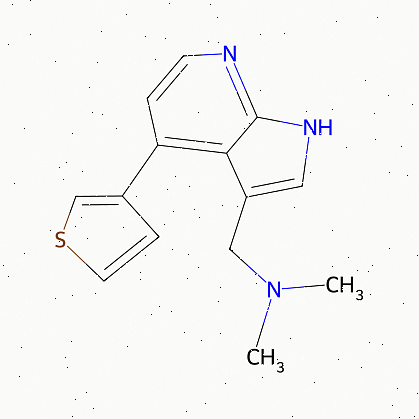 CN(C)Cc1c[nH]c2nccc(-c3ccsc3)c12